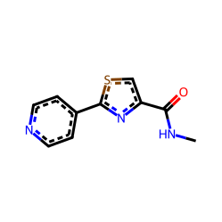 CNC(=O)c1csc(-c2ccncc2)n1